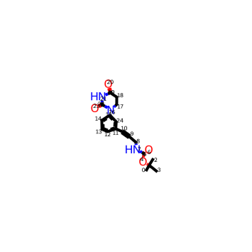 CC(C)(C)OC(=O)NCC#Cc1cccc(N2CCC(=O)NC2=O)c1